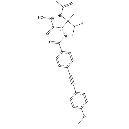 COc1ccc(C#Cc2ccc(C(=O)N[C@H](C(=O)NO)C(C)(NC(C)=O)C(F)F)cc2)cc1